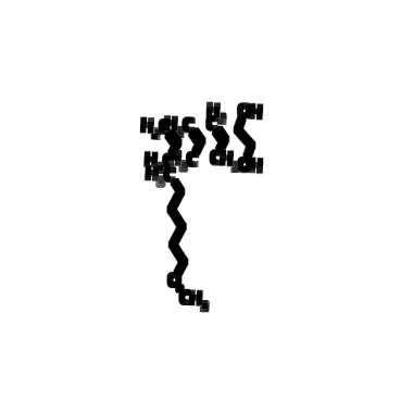 C=CC.C=CC.C=CC.CCCCCCOC.OCCO